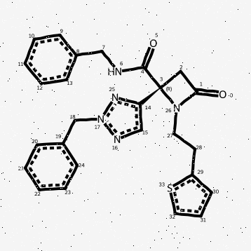 O=C1C[C@](C(=O)NCc2ccccc2)(c2cnn(Cc3ccccc3)n2)N1CCc1cccs1